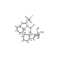 CC(C1C([Si](C)(C)C)=Cc2ccccc21)C1C([Si](C)(C)C)=Cc2ccccc21